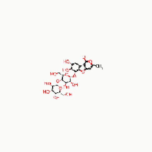 Cc1cc2oc3c(O[C@@H]4O[C@H](CO)[C@@H](O[C@@H]5O[C@H](CO)[C@H](O)[C@H](O)[C@H]5O)[C@H](O)[C@H]4O)c(O)c(O)cc3c2c(=O)o1